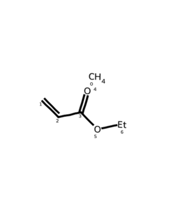 C.C=CC(=O)OCC